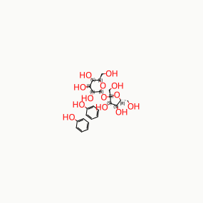 OC[C@H]1O[C@@](CO)(O[C@H]2O[C@H](CO)[C@@H](O)[C@H](O)[C@H]2O)[C@@H](O)[C@@H]1O.Oc1ccccc1.Oc1ccccc1